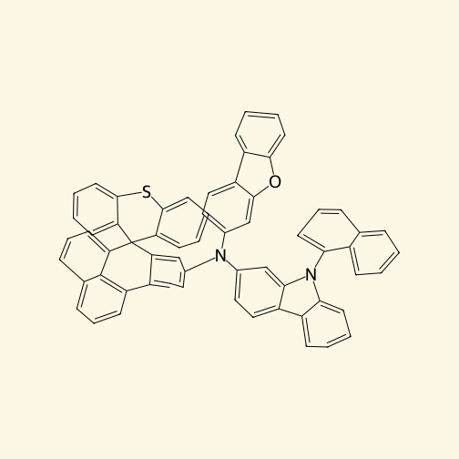 c1ccc2c(c1)Sc1ccccc1C21c2cc(N(c3ccc4c(c3)oc3ccccc34)c3ccc4c5ccccc5n(-c5cccc6ccccc56)c4c3)ccc2-c2cccc3cccc1c23